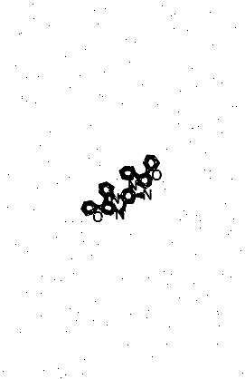 N#Cc1cc(C#N)c(-n2c3ccccc3c3c4c(ccc32)oc2ccccc24)cc1-n1c2ccccc2c2c3c(ccc21)oc1ccccc13